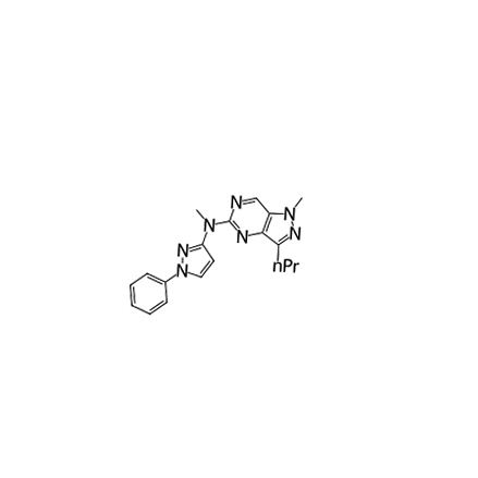 CCCc1nn(C)c2cnc(N(C)c3ccn(-c4ccccc4)n3)nc12